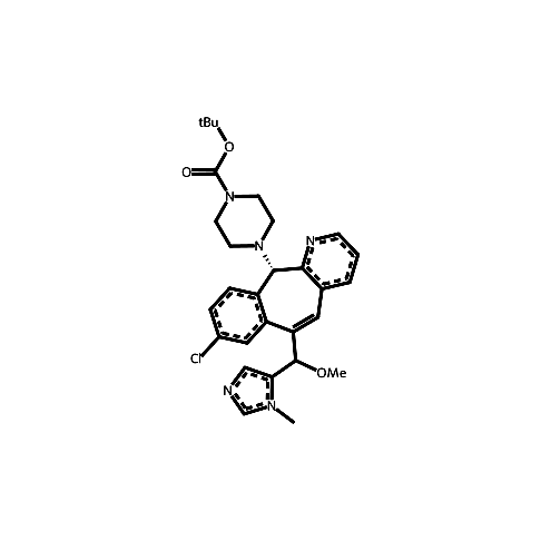 COC(C1=Cc2cccnc2[C@@H](N2CCN(C(=O)OC(C)(C)C)CC2)c2ccc(Cl)cc21)c1cncn1C